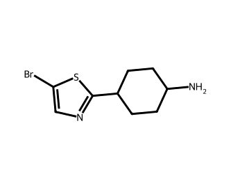 NC1CCC(c2ncc(Br)s2)CC1